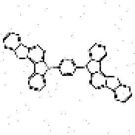 c1ccc2c(c1)sc1c2ccc2c1c1ccccc1n2-c1ccc(-n2c3ccccc3c3c4sc5ccccc5c4ccc32)cc1